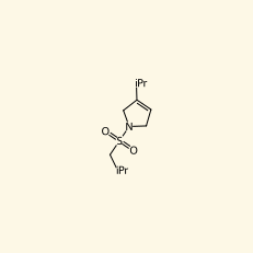 CC(C)CS(=O)(=O)N1CC=C(C(C)C)C1